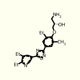 CCc1cc(-c2nc(-c3cc(C)c(OC[C@@H](O)CN)c(CC)c3)no2)cnc1CC